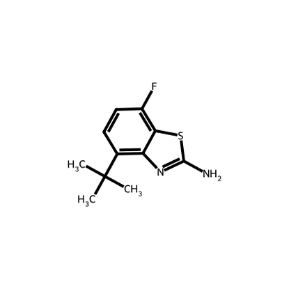 CC(C)(C)c1ccc(F)c2sc(N)nc12